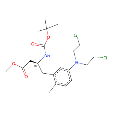 COC(=O)C[C@H](Cc1cc(N(CCCl)CCCl)ccc1C)NC(=O)OC(C)(C)C